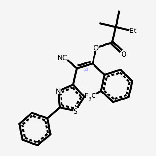 CCC(C)(C)C(=O)O/C(=C(\C#N)c1csc(-c2ccccc2)n1)c1ccccc1C(F)(F)F